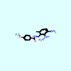 Cc1ccc(N)c(NN)c1CNC(=O)c1ccc(OC(F)(F)F)cc1